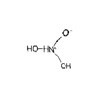 [O-][NH+](O)O